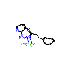 Cl.Cl.c1ccc(CCC2=Nc3cccnc3NN2)cc1